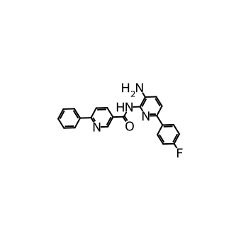 Nc1ccc(-c2ccc(F)cc2)nc1NC(=O)c1ccc(-c2ccccc2)nc1